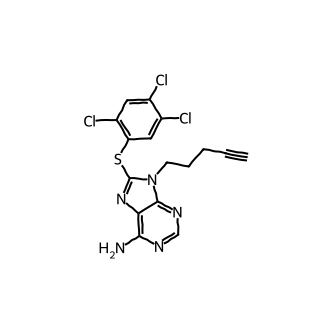 C#CCCCn1c(Sc2cc(Cl)c(Cl)cc2Cl)nc2c(N)ncnc21